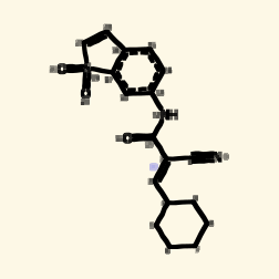 N#C/C(=C\C1CCCCC1)C(=O)Nc1ccc2c(c1)S(=O)(=O)C=C2